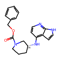 O=C(OCc1ccccc1)N1CCC[C@@H](Nc2ccnc3[nH]ccc23)C1